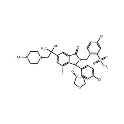 CN1CCN(CC(C)(O)c2cc(F)c3c(c2)C(=O)N(Cc2ccc(Cl)cc2S(C)(=O)=O)[C@@]3(O[C@H]2CCOC2)c2ccc(Cl)cc2)CC1